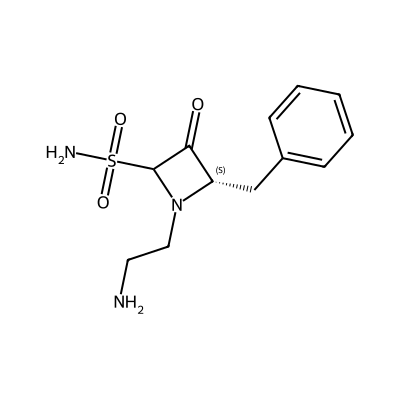 NCCN1C(S(N)(=O)=O)C(=O)[C@@H]1Cc1ccccc1